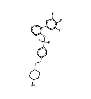 CCCC[C@H]1CC[C@H](CCc2ccc(C(F)(F)Oc3ccccc3-c3cc(F)c(F)c(F)c3)cc2)CC1